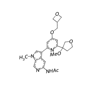 COC1(c2cc(OCC3COC3)cc(-c3cn(C)c4cnc(NC(C)=O)cc34)n2)CCOC1